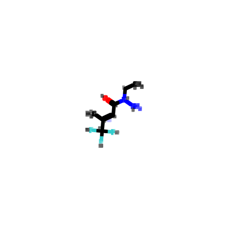 CCN(N)C(=O)/C=C(\C)C(F)(F)F